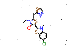 CCn1c(=O)/c(=C2\Sc3cc(Cl)ccc3N2C)s/c1=C\c1scc[n+]1C